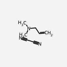 C=CCN(C)C.N#CC#N